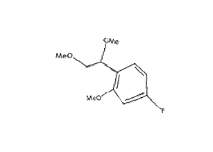 COCC(OC)c1ccc(F)cc1OC